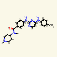 CN1CCC(N(C)C(=O)c2ccc(Nc3nccc(Nc4ccc(C(F)(F)F)cc4)n3)cc2)CC1